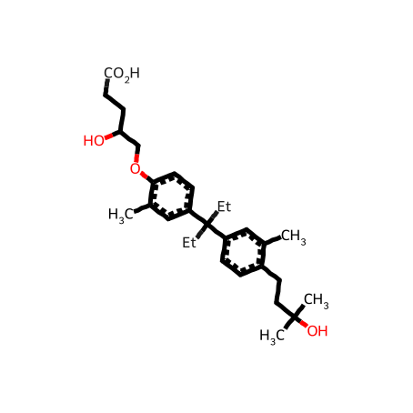 CCC(CC)(c1ccc(CCC(C)(C)O)c(C)c1)c1ccc(OCC(O)CCC(=O)O)c(C)c1